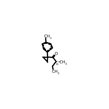 CC[C@@H](C)C(=O)C1(c2ccc(C)cc2)CC1